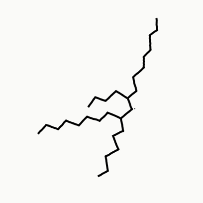 CCCCCCCCC([CH]C(CCCCCC)CCCCCCCC)CCCC